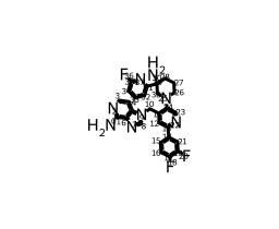 Nc1nccc2c1ncn2Cc1cc(-c2ccc(F)c(F)c2)ncc1N1CCCC(N)(c2cccc(F)n2)C1